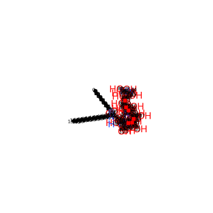 CCCCCCCCCCCCC/C=C/[C@@H](O)[C@H](CO[C@@H]1OC(CO)[C@@H](O[C@@H]2OC(CO)[C@H](O)[C@H](O[C@@H]3OC(CO)[C@@H](O[C@@H]4OC(CO)[C@H](O)[C@H](O[C@@H]5OC(CO)[C@@H](O[C@@H]6OC(CO[C@]7(C(=O)O)CC(O)[C@@H](NC(C)=O)C([C@H](O)[C@H](O)CO)O7)[C@H](O)[C@H](O)C6O)[C@H](O)C5NC(C)=O)C4O)[C@H](O)C3NC(C)=O)C2O)[C@H](O)C1O)NC(=O)CCCCCCCCCCCCCCCCCCC